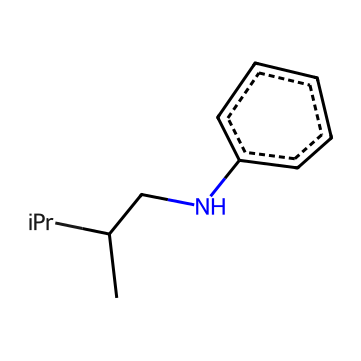 CC(C)C(C)CNc1ccccc1